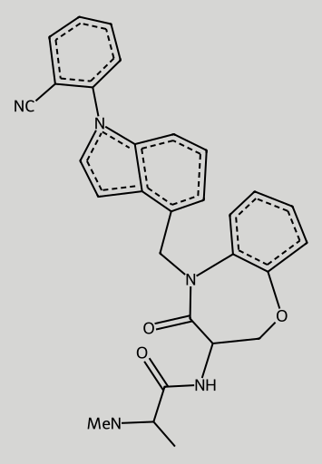 CNC(C)C(=O)NC1COc2ccccc2N(Cc2cccc3c2ccn3-c2ccccc2C#N)C1=O